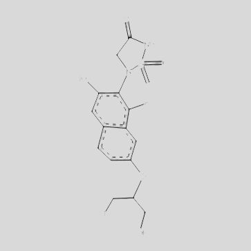 O=C1CN(c2c(O)cc3ccc(OC(CO)CCl)cc3c2F)S(=O)(=O)N1